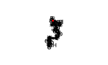 C[C@@H]1CN(C(=O)[C@@H]2N[C@@H](CC(C)(C)C)[C@@]3(CNc4cc(C(F)(F)F)ncc43)[C@H]2c2cccc(Cl)c2F)c2ccc(C(=O)N3CCC4(CC3)C[C@H]4C#Cc3cccc4c3CN([C@H]3CCC(=O)NC3=O)C4=O)cc2O1